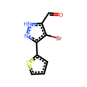 O=Cc1[nH]nc(-c2cccs2)c1Br